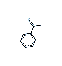 CC(=S)c1ccccc1